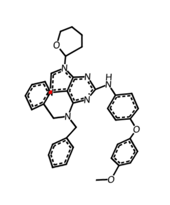 COc1ccc(Oc2ccc(Nc3nc(N(Cc4ccccc4)Cc4ccccc4)c4ncn(C5CCCCO5)c4n3)cc2)cc1